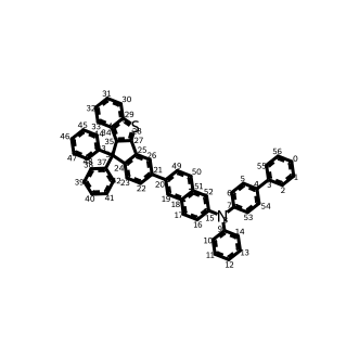 c1ccc(-c2ccc(N(c3ccccc3)c3ccc4cc(-c5ccc6c(c5)-c5sc7ccccc7c5C6(c5ccccc5)c5ccccc5)ccc4c3)cc2)cc1